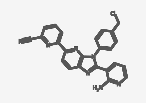 N#Cc1cccc(-c2ccc3nc(-c4cccnc4N)n(-c4ccc(CCl)cc4)c3n2)n1